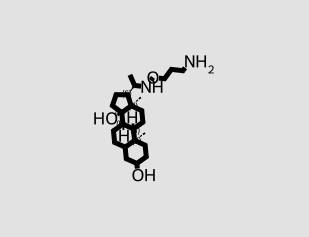 CC(NOCCCN)[C@H]1CC[C@@]2(O)[C@@H]3CCC4CC(O)CC[C@]4(C)[C@H]3CC[C@]12C